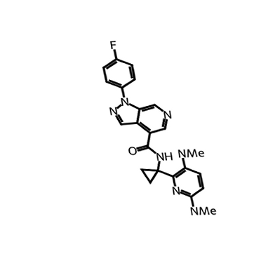 CNc1ccc(NC)c(C2(NC(=O)c3cncc4c3cnn4-c3ccc(F)cc3)CC2)n1